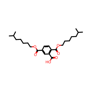 CC(C)CCCCCOC(=O)c1ccc(C(=O)OCCCCCC(C)C)c(C(=O)O)c1